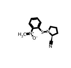 C=[N+]([O-])c1ccccc1SN1CCC[C@H]1C#N